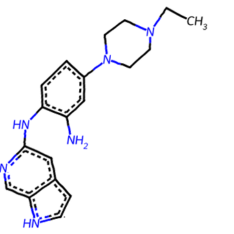 CCN1CCN(c2ccc(Nc3cc4c[c][nH]c4cn3)c(N)c2)CC1